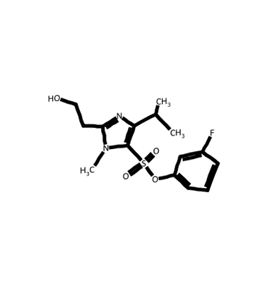 CC(C)c1nc(CCO)n(C)c1S(=O)(=O)Oc1cccc(F)c1